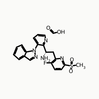 CS(=O)(=O)c1ccc(F)c(C[C@H](N)c2ncccc2-n2ncc3ccccc32)n1.O=CO